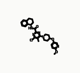 COc1ccc(OC2CCN(c3nc(C(=O)N[C@@H]4CCCc5ccccc54)nc(Cl)c3C)CC2)cn1